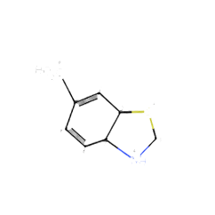 O=C(O)C1=CC2SCNC2C=C1